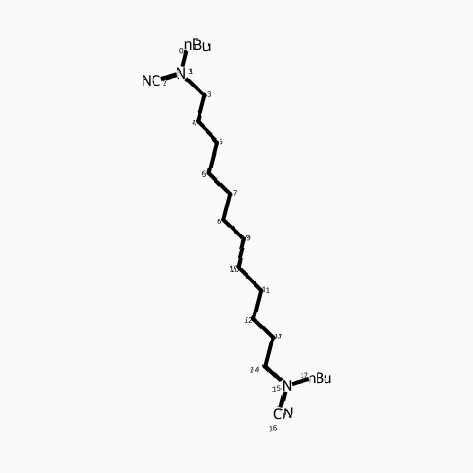 CCCCN(C#N)CCCCCCCCCCCCN(C#N)CCCC